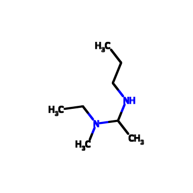 CCCNC(C)N(C)CC